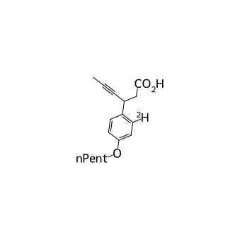 [2H]c1cc(OCCCCC)ccc1C(C#CC)CC(=O)O